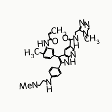 C=CC(=O)Nc1cc(-c2c(-c3ccc(NCCNC)cc3)[nH]c3ncc(C(=O)NCc4nncn4C)cc23)ccc1C